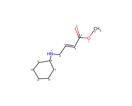 COC(=O)C=CCNC1CCCCC1